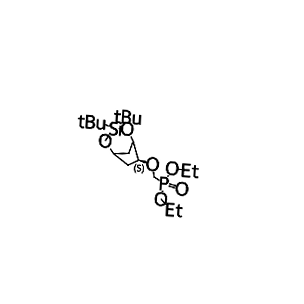 CCOP(=O)(CO[C@H]1CC2CC1O[Si](C(C)(C)C)(C(C)(C)C)O2)OCC